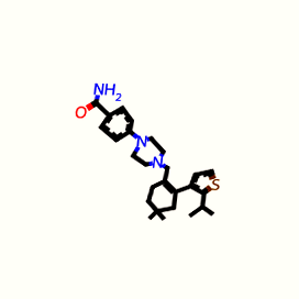 CC(C)c1sccc1C1=C(CN2CCN(c3ccc(C(N)=O)cc3)CC2)CCC(C)(C)C1